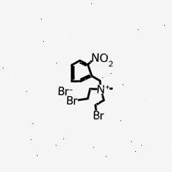 C[N+](CCBr)(CCBr)Cc1ccccc1[N+](=O)[O-].[Br-]